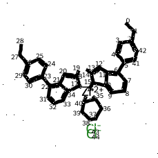 CCc1ccc(-c2cccc3c2C=C(C)[CH]3[Zr+2]2([CH]3C(C)=Cc4c(-c5ccc(CC)cc5)cccc43)[CH]3CCCC[CH]32)cc1.[Cl-].[Cl-]